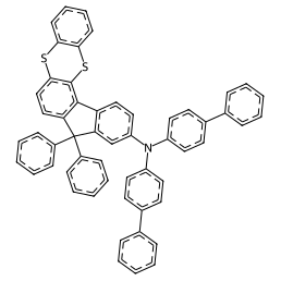 c1ccc(-c2ccc(N(c3ccc(-c4ccccc4)cc3)c3ccc4c(c3)C(c3ccccc3)(c3ccccc3)c3ccc5c(c3-4)Sc3ccccc3S5)cc2)cc1